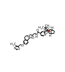 Cc1ncoc1COc1ccc2c(c1)CCN(C[C@@H](O)CNC(=O)c1ccnc(NC3C[C@H]4CC[C@@H](C3)N4C(=O)OC(C)(C)C)c1)C2